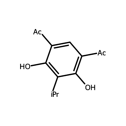 CC(=O)c1cc(C(C)=O)c(O)c(C(C)C)c1O